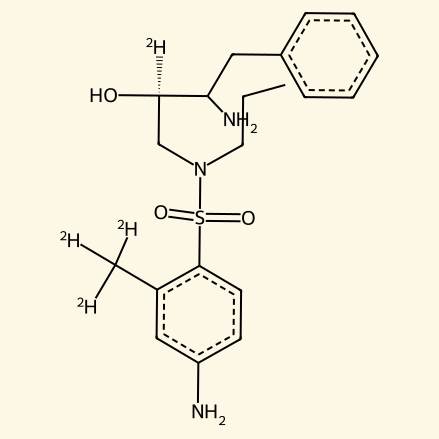 [2H]C([2H])([2H])c1cc(N)ccc1S(=O)(=O)N(CCC)C[C@@]([2H])(O)C(N)Cc1ccccc1